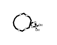 CC1(OP(=O)(O)O)CCCCCCCCCCCCCC1